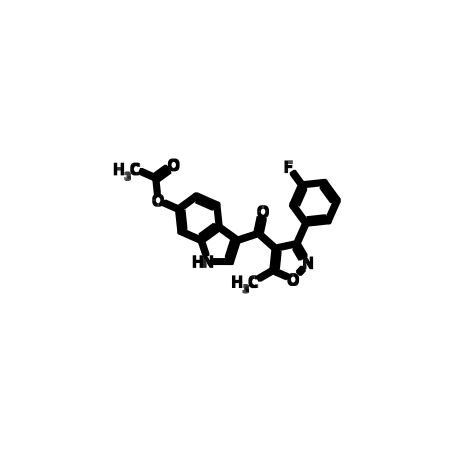 CC(=O)Oc1ccc2c(C(=O)c3c(-c4cccc(F)c4)noc3C)c[nH]c2c1